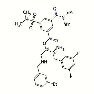 CCCN(CCC)C(=O)c1cc(C(=O)O[C@H](CNCc2cccc(CC)c2)[C@@H](N)Cc2cc(F)cc(F)c2)cc(S(=O)(=O)N(C)C)c1